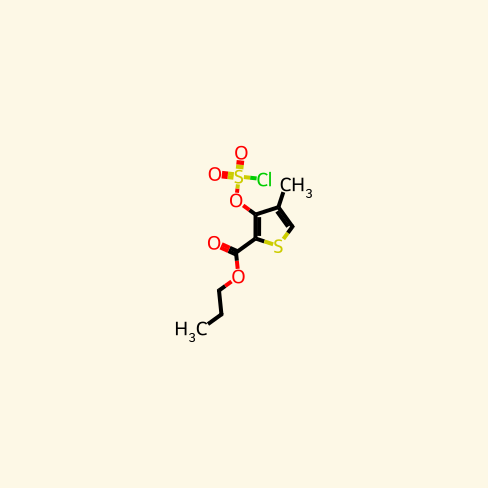 CCCOC(=O)c1scc(C)c1OS(=O)(=O)Cl